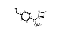 C=Cc1ccc(C(OC)C2=CCC2)cc1